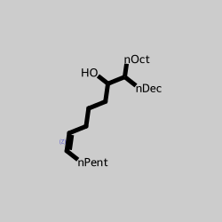 CCCCC/C=C\CCCC(O)C(CCCCCCCC)CCCCCCCCCC